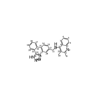 Cc1nc2ccccc2c(NCc2ccc(-c3ccccc3-c3nnn[nH]3)cc2)c1C